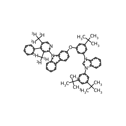 [2H]C([2H])([2H])c1cnc(-n2c3ccccc3c3ccc(Oc4cc(-n5c[n+](-c6cc(C(C)(C)C)cc(C(C)(C)C)c6)c6ccccc65)cc(C(C)(C)C)c4)cc32)c(C([2H])([2H])[2H])c1-c1ccccc1